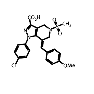 COc1ccc(/C=C2\CN(S(C)(=O)=O)Cc3c(C(=O)O)nn(-c4ccc(Cl)cc4)c32)cc1